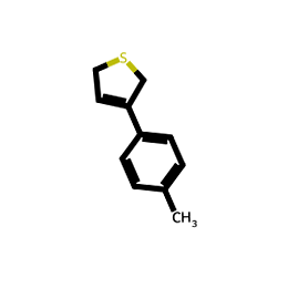 Cc1ccc(C2=CCSC2)cc1